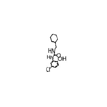 O=C(NCC1CCCCC1)Nc1cc(Cl)ccc1O